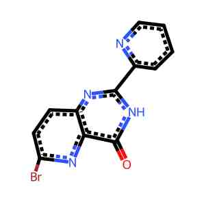 O=c1[nH]c(-c2ccccn2)nc2ccc(Br)nc12